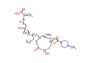 CC[C@H](O)[C@@H](C)[C@H]1O[C@@H]1C[C@@](C)(O)/C=C/CC(C)[C@H]1OC(=O)C[C@H](O)CC[C@@](C)(OC(=O)N2CCN(C)CC2)[C@@H](OC(C)=O)/C=C/[C@@H]1C